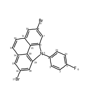 Fc1ccc(-n2c3cc(Br)cc4ccc5cc(Br)cc2c5c43)cc1